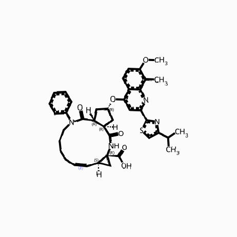 COc1ccc2c(O[C@@H]3C[C@H]4C(=O)N[C@]5(C(=O)O)C[C@H]5/C=C\CCCCN(c5ccccc5)C(=O)[C@@H]4C3)cc(-c3nc(C(C)C)cs3)nc2c1C